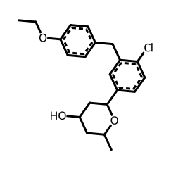 CCOc1ccc(Cc2cc(C3CC(O)CC(C)O3)ccc2Cl)cc1